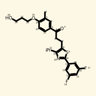 Cc1cc(C(=O)CCc2sc(-c3cc(F)cc(F)c3)nc2C(C)C)ccc1OCCCO